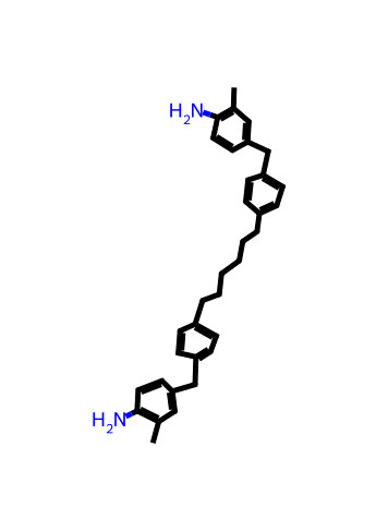 Cc1cc(Cc2ccc(CCCCCCc3ccc(Cc4ccc(N)c(C)c4)cc3)cc2)ccc1N